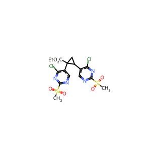 CCOC(=O)C1(c2cnc(S(C)(=O)=O)nc2Cl)CC1c1cnc(S(C)(=O)=O)nc1Cl